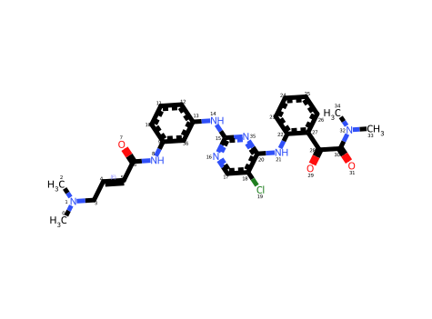 CN(C)C/C=C/C(=O)Nc1cccc(Nc2ncc(Cl)c(Nc3ccccc3C(=O)C(=O)N(C)C)n2)c1